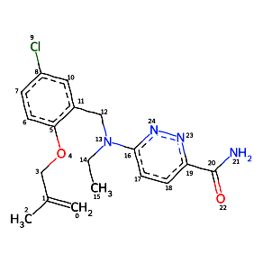 C=C(C)COc1ccc(Cl)cc1CN(CC)c1ccc(C(N)=O)nn1